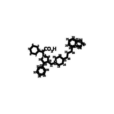 O=C(O)C(C1CCCCC1)N1CC(CN2CCC(CCCc3cccc4nnnn34)CC2)C(c2ccccc2)C1